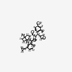 O=C(N[C@@H](c1ccc(C(F)(F)F)cc1F)C1COC1)[C@H]1C[C@H]2CC[C@H]2N1C(=O)c1cc(C2CC2)ccn1